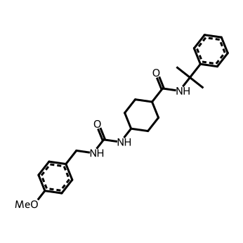 COc1ccc(CNC(=O)NC2CCC(C(=O)NC(C)(C)c3ccccc3)CC2)cc1